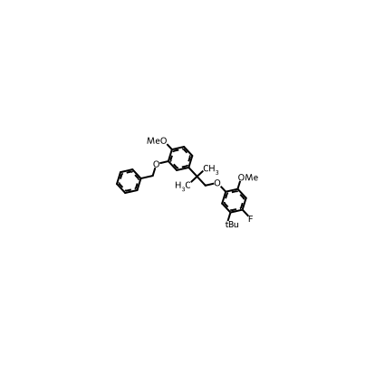 COc1ccc(C(C)(C)COc2cc(C(C)(C)C)c(F)cc2OC)cc1OCc1ccccc1